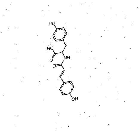 O=C(/C=C/c1ccc(O)cc1)NC(Cc1ccc(O)cc1)C(=O)O